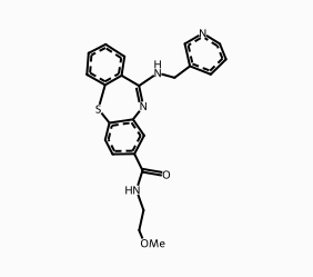 COCCNC(=O)c1ccc2c(c1)N=C(NCc1cccnc1)c1ccccc1S2